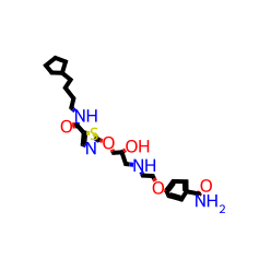 NC(=O)c1ccc(OCCNCC(O)COc2ncc(C(=O)NCCCCC3CCCC3)s2)cc1